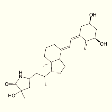 C=C1/C(=C\C=C2CCC[C@@]3(C)C2CC[C@@H]3[C@H](C)CC2CC(C)(O)C(=O)N2)C[C@@H](O)C[C@H]1O